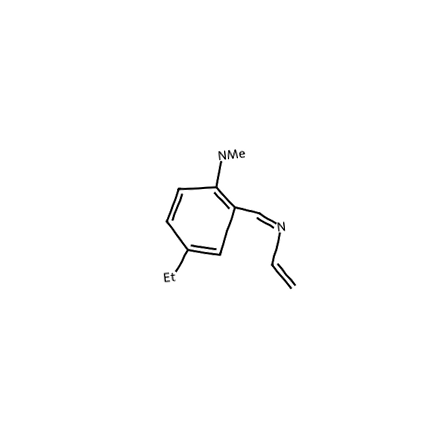 C=C/N=C\c1cc(CC)ccc1NC